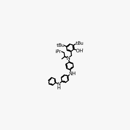 CC(C)CC(C)N(Cc1cc(C(C)(C)C)cc(C(C)(C)C)c1O)c1ccc(Nc2ccc(Nc3ccccc3)cc2)cc1